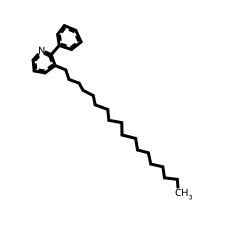 CCCCCCCCCCCCCCCCCCc1cccnc1-c1ccccc1